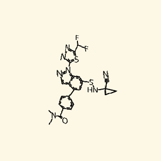 CN(C)C(=O)c1ccc(-c2cc(SNC3(C#N)CC3)cc3c2cnn3-c2nnc(C(F)F)s2)cc1